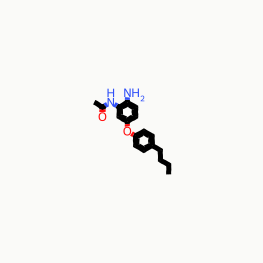 CCCCc1ccc(Oc2ccc(N)c(NC(C)=O)c2)cc1